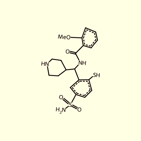 COc1ccccc1C(=O)NC(c1cc(S(N)(=O)=O)ccc1S)C1CCNCC1